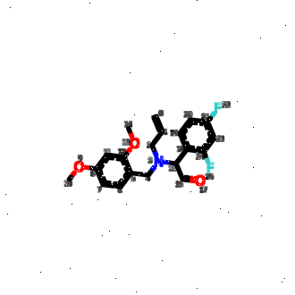 C=CCN(Cc1ccc(OC)cc1OC)C(C=O)c1ccc(F)cc1F